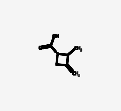 C=C1CN(C(=O)O)C1C